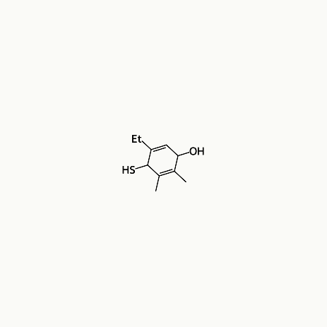 CCC1=CC(O)C(C)=C(C)C1S